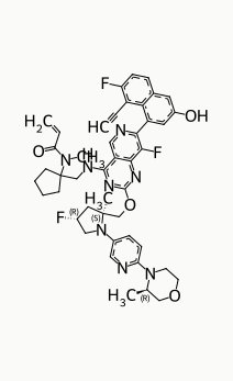 C#Cc1c(F)ccc2cc(O)cc(-c3ncc4c(NCC5(N(C)C(=O)C=C)CCCC5)nc(OC[C@]5(C)C[C@@H](F)CN5c5ccc(N6CCOC[C@H]6C)nc5)nc4c3F)c12